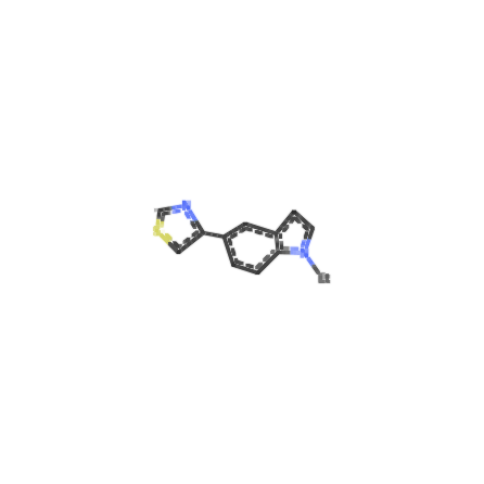 CCn1ccc2cc(-c3cs[c]n3)ccc21